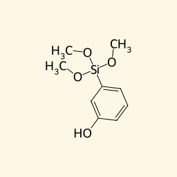 CO[Si](OC)(OC)c1cccc(O)c1